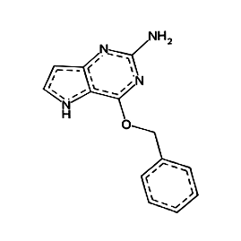 Nc1nc(OCc2ccccc2)c2[nH]ccc2n1